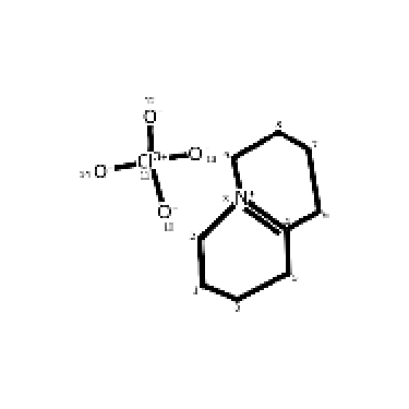 C1CC[N+]2=C(C1)CCCC2.[O-][Cl+3]([O-])([O-])[O-]